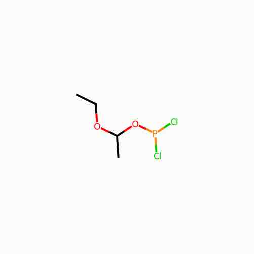 CCOC(C)OP(Cl)Cl